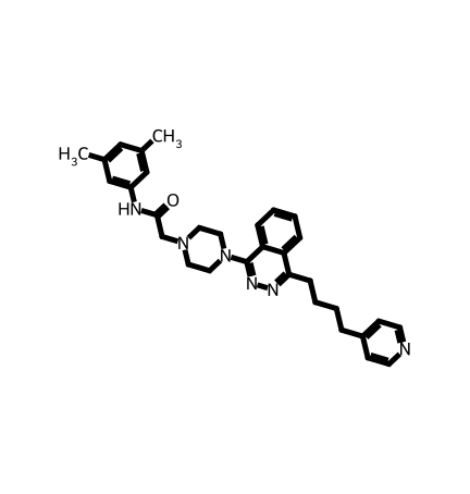 Cc1cc(C)cc(NC(=O)CN2CCN(c3nnc(CCCCc4ccncc4)c4ccccc34)CC2)c1